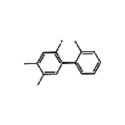 Cc1cc(F)c(-c2ccccc2C)cc1C